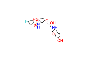 O=S(=O)(Nc1cc(OC[C@@H](O)CN[C@H](CO)Cc2ccc(O)cc2)ccc1O)c1ccc(F)cc1